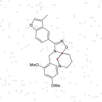 COc1ccc(CN2C(c3ccc4occ(C)c4c3)=NOC23CN2CCC3CC2)c(OC)c1